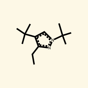 CCc1nn(C(C)(C)C)cc1C(C)(C)C